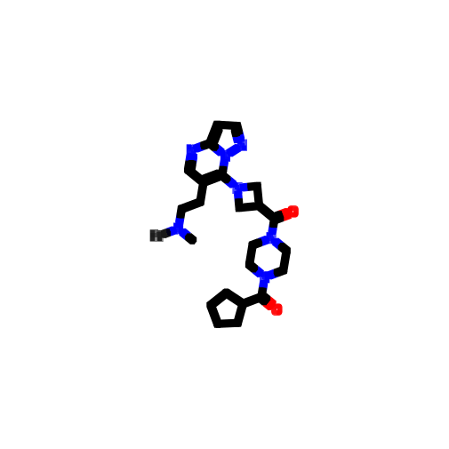 CCN(C)CCc1cnc2ccnn2c1N1CC(C(=O)N2CCN(C(=O)C3CCCC3)CC2)C1